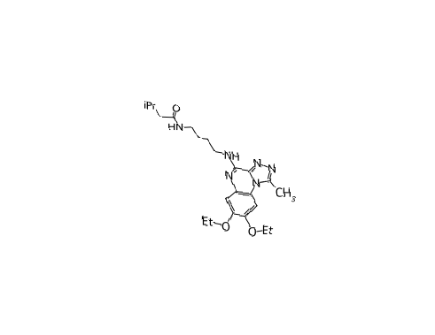 CCOc1cc2nc(NCCCCNC(=O)CC(C)C)c3nnc(C)n3c2cc1OCC